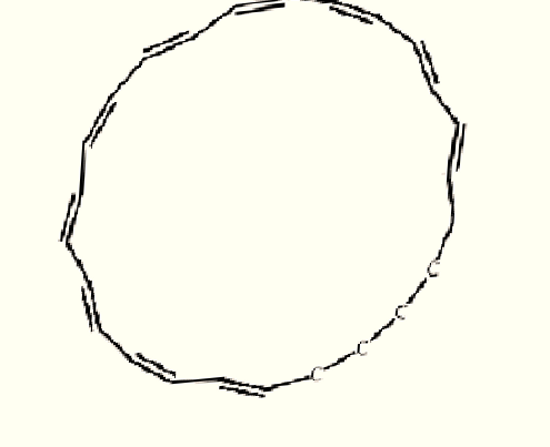 [C]1=C/C=C/C=C\C=C/C=C/C=C\C=C\C=C\C=C/C=C/CCCCC/1